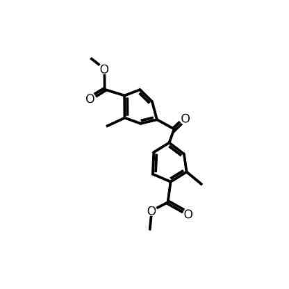 COC(=O)c1ccc(C(=O)c2ccc(C(=O)OC)c(C)c2)cc1C